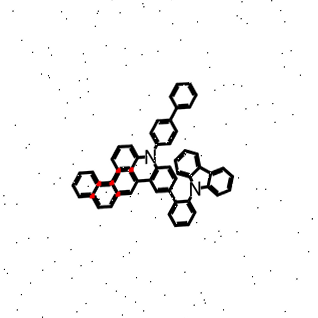 c1ccc(-c2ccc(-c3cc(-c4ccccc4-n4c5ccccc5c5ccccc54)ccc3N(c3ccc(-c4ccccc4)cc3)c3cccc(-c4ccccc4)c3)cc2)cc1